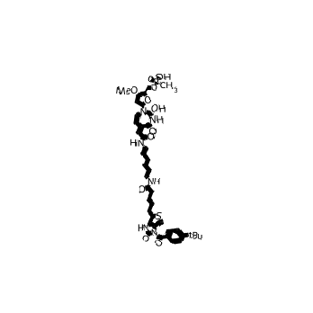 COC1C[C@H](N2C=C/C(=C/C(=O)NCCCCCCNC(=O)CCCCC3SCC4C3NC(=O)N4C(=O)c3ccc(C(C)(C)C)cc3)C(=O)NC2O)O[C@@H]1COP(C)(=O)O